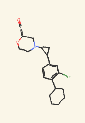 O=C=C1CN(C2CC2c2ccc(C3CCCCC3)c(Cl)c2)CCO1